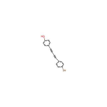 Oc1ccc(C#CC#Cc2ccc(S)cc2)cc1